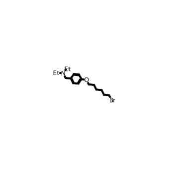 CCN(CC)Cc1ccc(OCCCCCCBr)cc1